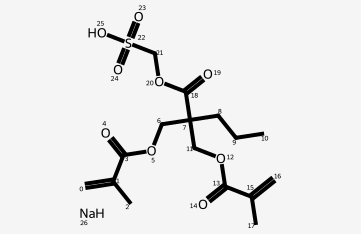 C=C(C)C(=O)OCC(CCC)(COC(=O)C(=C)C)C(=O)OCS(=O)(=O)O.[NaH]